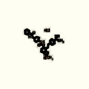 Cc1nc2c(CCc3ccc(C(=N)N)cc3)c(OC(=O)NN3CCC(NC(=O)c4ccccc4)CC3)ccc2[nH]1.Cl